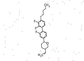 C=CC1CCC(c2ccc(-c3ccc(CCCCC)c(F)c3F)c(F)c2)OC1